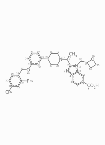 C[C@@H](c1nc2ccc(C(=O)O)cc2n1C[C@@H]1CCO1)N1CCC(c2cccc(OCc3ccc(Cl)cc3F)n2)CC1